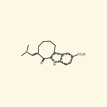 CCOC(=O)c1ccc2[nH]c3c(c2c1)CCCCC(=CN(C)C)C3=O